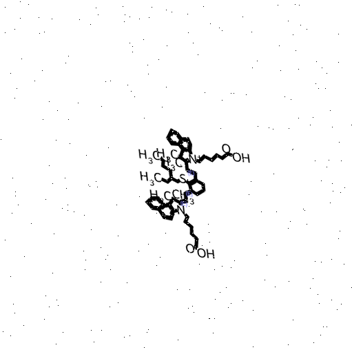 CCCCC(CC)CSC1=C(/C=C/C2=[N+](CCCCCC(=O)O)c3ccc4ccccc4c3C2(C)C)CCC/C1=C\C=C1\N(CCCCCC(=O)O)c2ccc3ccccc3c2C1(C)C